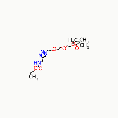 CCCOC(=O)NCc1cn(CCOCCOCCOC(=O)C(C)(C)C)nn1